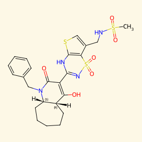 CS(=O)(=O)NCc1csc2c1S(=O)(=O)N=C(C1=C(O)[C@@H]3CCCCC[C@@H]3N(Cc3ccccc3)C1=O)N2